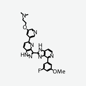 COc1cc(F)cc(-c2nccc3[nH]c(-c4n[nH]c5ccc(-c6cncc(OCCN(C)C)c6)nc45)nc23)c1